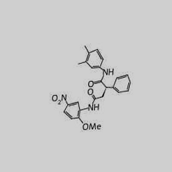 COc1ccc([N+](=O)[O-])cc1NC(=O)C[C@@H](C(=O)Nc1ccc(C)c(C)c1)c1ccccc1